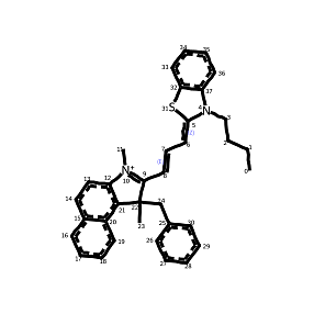 CCCCN1/C(=C/C=C/C2=[N+](C)c3ccc4ccccc4c3C2(C)Cc2ccccc2)Sc2ccccc21